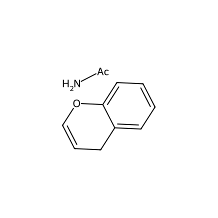 C1=COc2ccccc2C1.CC(N)=O